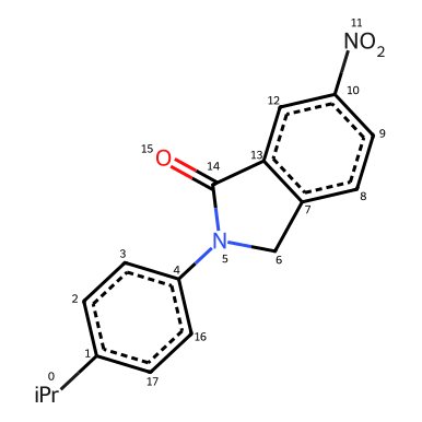 CC(C)c1ccc(N2Cc3ccc([N+](=O)[O-])cc3C2=O)cc1